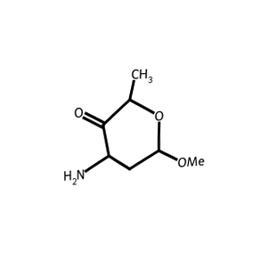 COC1CC(N)C(=O)C(C)O1